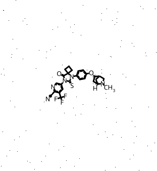 CN1CC2C[C@H]1C[C@H]2Oc1ccc(N2C(=S)N(c3cnc(C#N)c(C(F)(F)F)c3)C(=O)C23CCC3)cc1